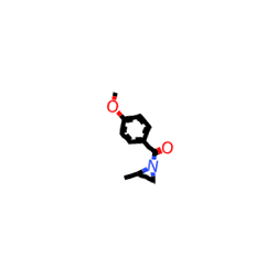 COc1ccc(C(=O)N2CC2C)cc1